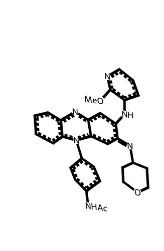 COc1ncccc1Nc1cc2nc3ccccc3n(-c3ccc(NC(C)=O)cc3)c-2c/c1=N\C1CCOCC1